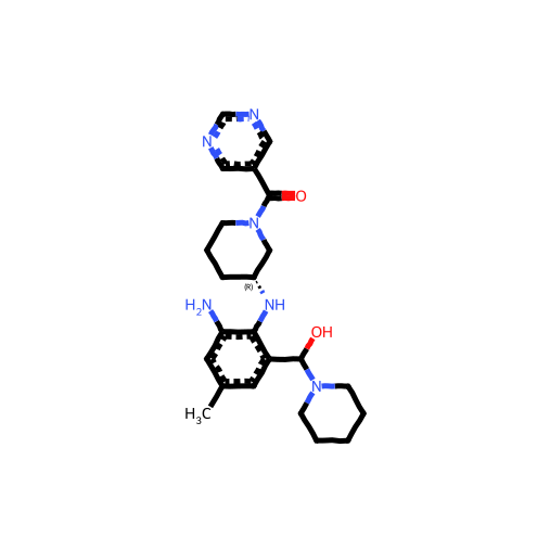 Cc1cc(N)c(N[C@@H]2CCCN(C(=O)c3cncnc3)C2)c(C(O)N2CCCCC2)c1